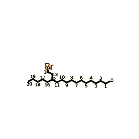 CCCCCCCCCCCCC(CCBr)CCCCC